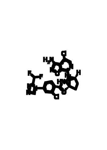 Nc1noc2c(N3C[C@@H]4CC[C@H]3[C@@H]4NC(=O)c3ccc(-n4cnnc4C(F)F)cc3Cl)ncc(Cl)c12